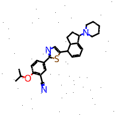 CC(C)Oc1ccc(-c2ncc(C3C=CC=C4C3CCC4N3CCCCC3)s2)cc1C#N